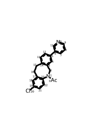 CC(=O)N1Cc2cc(-c3cccnc3)ccc2CCc2cc(Cl)ccc21